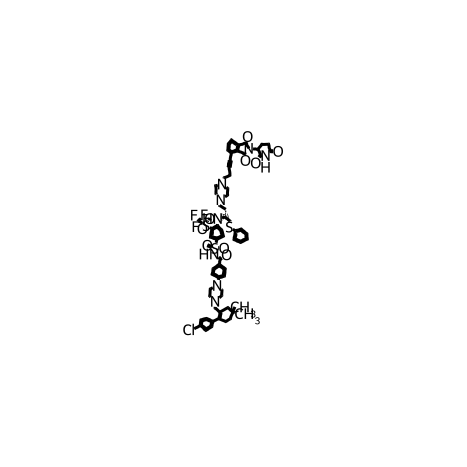 CC1(C)CCC(c2ccc(Cl)cc2)=C(CN2CCN(c3ccc(C(=O)NS(=O)(=O)c4ccc(N[C@H](CCN5CCN(CCC#Cc6cccc7c6C(=O)N(C6CCC(=O)NC6=O)C7=O)CC5)CSc5ccccc5)c(S(=O)(=O)C(F)(F)F)c4)cc3)CC2)C1